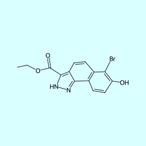 CCOC(=O)c1[nH]nc2c1ccc1c(Br)c(O)ccc12